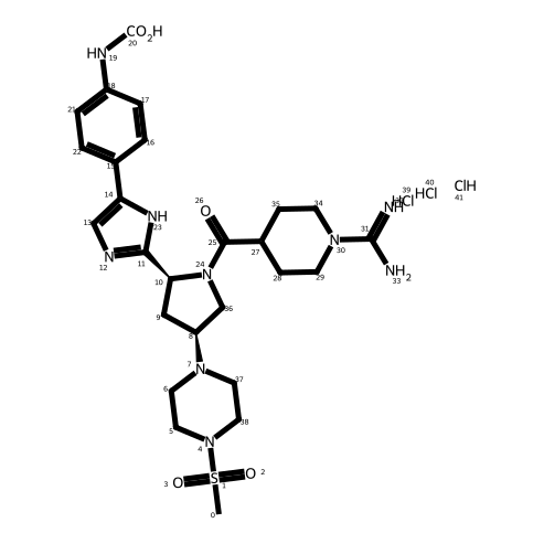 CS(=O)(=O)N1CCN([C@H]2C[C@@H](c3ncc(-c4ccc(NC(=O)O)cc4)[nH]3)N(C(=O)C3CCN(C(=N)N)CC3)C2)CC1.Cl.Cl.Cl